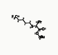 CCCCOC(=O)C(SCCCCC(F)(F)F)C(C)C